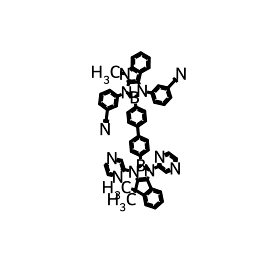 Cn1c2c(c3ccccc31)N(c1cccc(C#N)c1)B(c1ccc(-c3ccc(B4N(c5cnccn5)C5=C(N4c4cnccn4)C(C)(C)c4ccccc45)cc3)cc1)N2c1cccc(C#N)c1